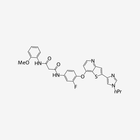 CCCn1cnc(-c2cc3nccc(Oc4ccc(NC(=O)CC(=O)Nc5ccccc5OC)cc4F)c3s2)c1